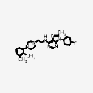 Cc1cccc(N2CCN(CCNc3ncnc4c3nc(C)n4-c3ccc(F)cc3)CC2)c1C